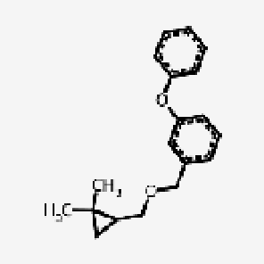 CC1(C)CC1COCc1cccc(Oc2ccccc2)c1